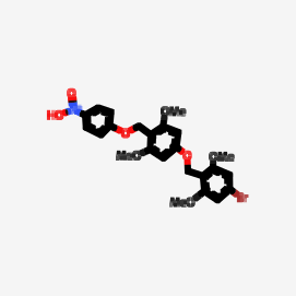 COc1cc(Br)cc(OC)c1COc1cc(OC)c(COc2ccc([N+](=O)O)cc2)c(OC)c1